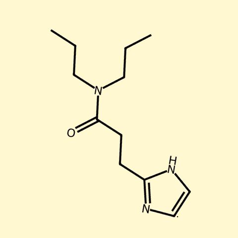 CCCN(CCC)C(=O)CCc1n[c]c[nH]1